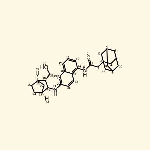 O=C(CC12CC3CC(CC(C3)C1)C2)Nc1cccc2nc(NC3[C@H]4CC[C@H](C4)[C@H]3CO)ccc12